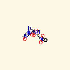 CC(=O)SC(CCCN1C(=O)c2ccccc2C1=O)C(=O)N[C@@H](CC(C)C)C(=O)NN1CCN(C(C)=O)CC1